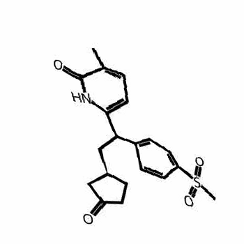 Cc1ccc(C(C[C@H]2CCC(=O)C2)c2ccc(S(C)(=O)=O)cc2)[nH]c1=O